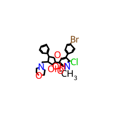 COc1nc(Cl)c(-c2ccc(Br)cc2)c2c1C1(O)C(O)C(CN3CCOCC3)C(c3ccccc3)C1O2